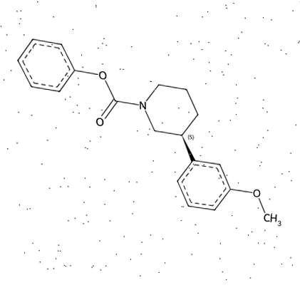 COc1cccc([C@@H]2CCCN(C(=O)Oc3ccccc3)C2)c1